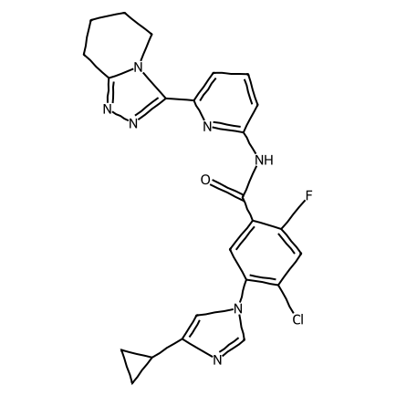 O=C(Nc1cccc(-c2nnc3n2CCCC3)n1)c1cc(-n2cnc(C3CC3)c2)c(Cl)cc1F